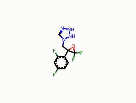 Fc1ccc(C2(CN3C=NNN3)OC2(F)F)c(F)c1